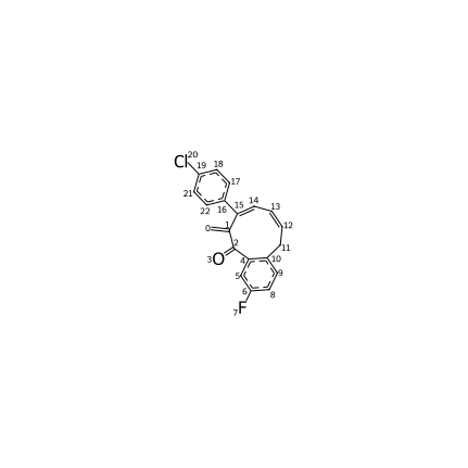 C=C1C(=O)c2cc(F)ccc2C/C=C\C=C/1c1ccc(Cl)cc1